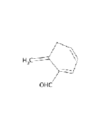 C=C1CC=CC=C1C=O